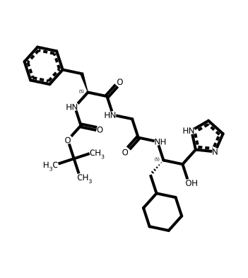 CC(C)(C)OC(=O)N[C@@H](Cc1ccccc1)C(=O)NCC(=O)N[C@@H](CC1CCCCC1)C(O)c1ncc[nH]1